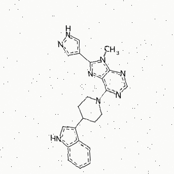 Cn1c(-c2cn[nH]c2)nc2c(N3CCC(c4c[nH]c5ccccc45)CC3)ncnc21